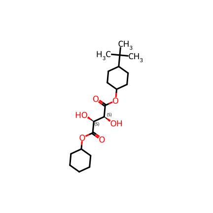 CC(C)(C)C1CCC(OC(=O)[C@@H](O)[C@H](O)C(=O)OC2CCCCC2)CC1